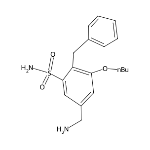 CCCCOc1cc(CN)cc(S(N)(=O)=O)c1Cc1ccccc1